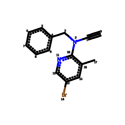 C#CN(Cc1ccccc1)c1ncc(Br)cc1C